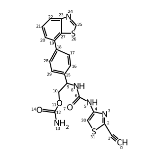 C#Cc1nc(NC(=O)NC(COC(N)=O)c2ccc(-c3cccc4ncsc34)cc2)cs1